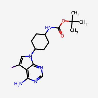 CC(C)(C)OC(=O)NC1CCC(n2cc(I)c3c(N)ncnc32)CC1